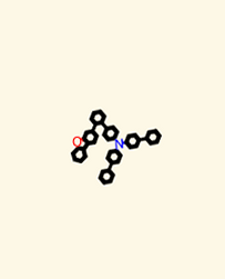 c1ccc(-c2ccc(N(c3ccc(-c4ccccc4)cc3)c3ccc(-c4ccccc4-c4ccc5c(c4)oc4ccccc45)cc3)cc2)cc1